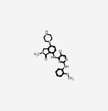 COc1ccccc1Nc1ncc(Cl)c(Nc2ccc(N3CCNCC3)c3c2C(=O)N(C)C3)n1